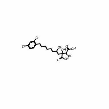 O=C(O)C(O)C(O)(CC(O)CCCCCCc1ccc(Cl)cc1Cl)C(=O)O